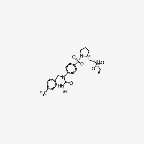 C=CS(=O)(=O)NC[C@H]1CCCN1S(=O)(=O)c1ccc(N(Cc2ccc(C(F)(F)F)cc2)C(=O)NC(C)C)cc1